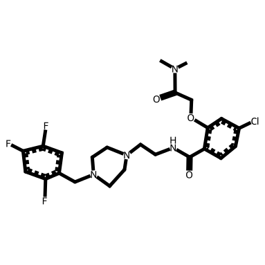 CN(C)C(=O)COc1cc(Cl)ccc1C(=O)NCCN1CCN(Cc2cc(F)c(F)cc2F)CC1